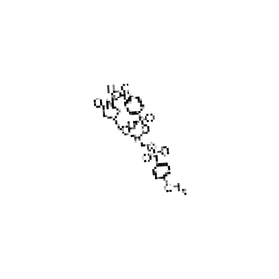 Cc1ccc(S(=O)(=O)OC[C@@H](COCC2CC(=O)N(C)C2)OS(=O)(=O)c2ccc(C)cc2)cc1